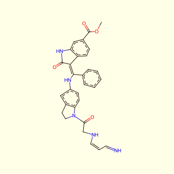 COC(=O)c1ccc2c(c1)NC(=O)/C2=C(\Nc1ccc2c(c1)CCN2C(=O)CN/C=C\C=N)c1ccccc1